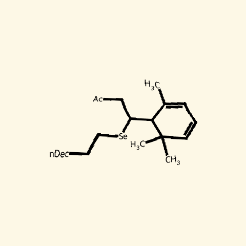 CCCCCCCCCCCC[Se]C(CC(C)=O)C1C(C)=CC=CC1(C)C